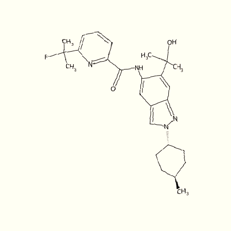 CC(C)(O)c1cc2nn([C@H]3CC[C@H](C)CC3)cc2cc1NC(=O)c1cccc(C(C)(C)F)n1